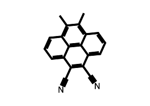 Cc1c(C)c2cccc3c(C#N)c(C#N)c4cccc1c4c23